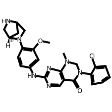 COc1cc(Nc2ncc3c(n2)N(C)CN(c2ccccc2Cl)C3=O)ccc1N1CC2C[C@H]1CN2